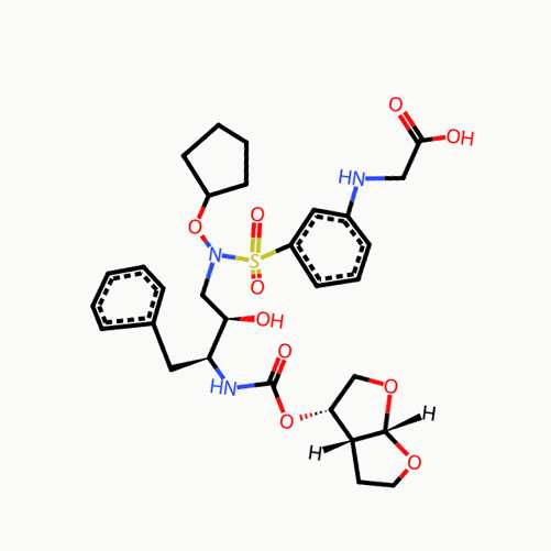 O=C(O)CNc1cccc(S(=O)(=O)N(C[C@@H](O)[C@H](Cc2ccccc2)NC(=O)O[C@@H]2CO[C@@H]3OCC[C@@H]32)OC2CCCC2)c1